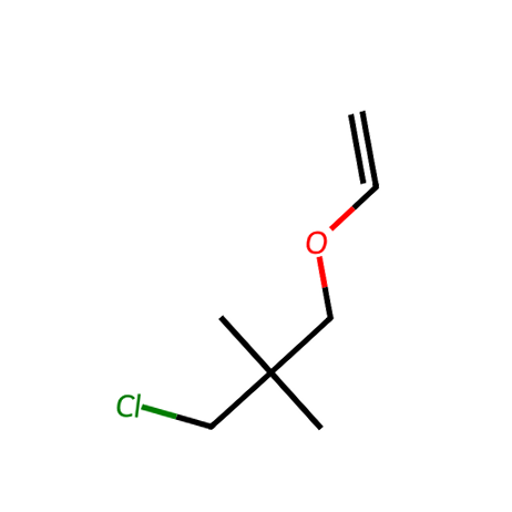 C=COCC(C)(C)CCl